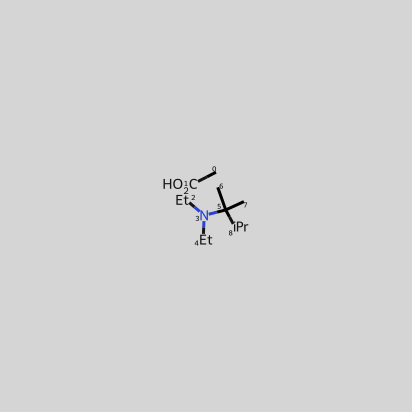 CC(=O)O.CCN(CC)C(C)(C)C(C)C